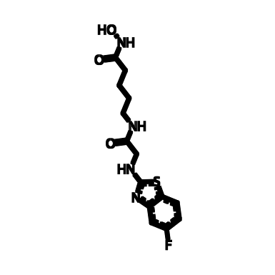 O=C(CCCCNC(=O)CNc1nc2cc(F)ccc2s1)NO